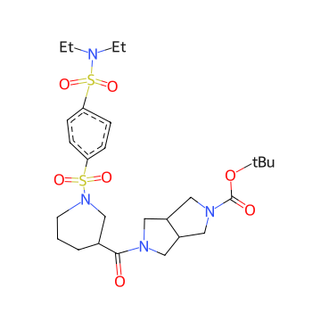 CCN(CC)S(=O)(=O)c1ccc(S(=O)(=O)N2CCCC(C(=O)N3CC4CN(C(=O)OC(C)(C)C)CC4C3)C2)cc1